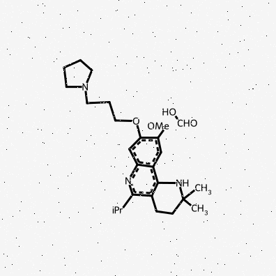 COc1cc2c3c(c(C(C)C)nc2cc1OCCCN1CCCC1)CCC(C)(C)N3.O=CO